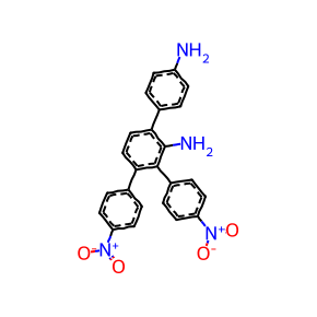 Nc1ccc(-c2ccc(-c3ccc([N+](=O)[O-])cc3)c(-c3ccc([N+](=O)[O-])cc3)c2N)cc1